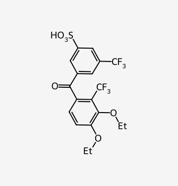 CCOc1ccc(C(=O)c2cc(C(F)(F)F)cc(S(=O)(=O)O)c2)c(C(F)(F)F)c1OCC